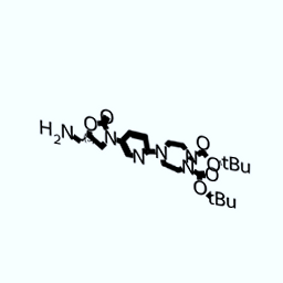 CC(C)(C)OC(=O)N1CCN(c2ccc(N3C[C@H](CN)OC3=O)cn2)CCN1C(=O)OC(C)(C)C